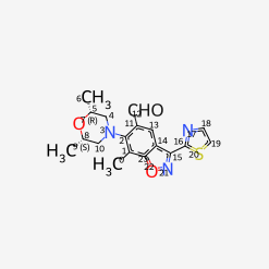 Cc1c(N2C[C@@H](C)O[C@@H](C)C2)c(C=O)cc2c(-c3nccs3)noc12